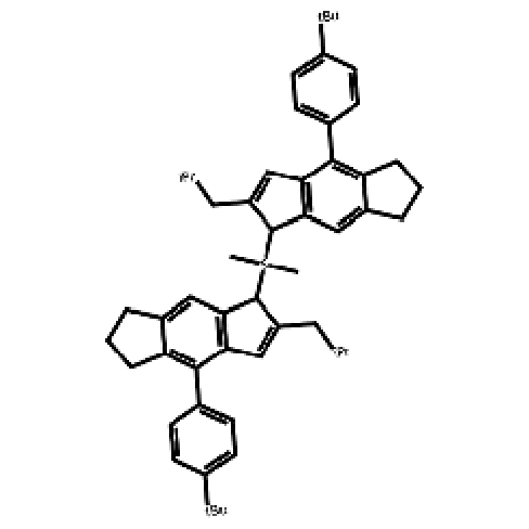 CC(C)CC1=Cc2c(cc3c(c2-c2ccc(C(C)(C)C)cc2)CCC3)C1S(C)(C)C1C(CC(C)C)=Cc2c1cc1c(c2-c2ccc(C(C)(C)C)cc2)CCC1